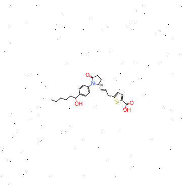 CCCCCC(O)c1ccc(N2C(=O)CC[C@@H]2C=CCc2ccc(C(=O)O)s2)cc1